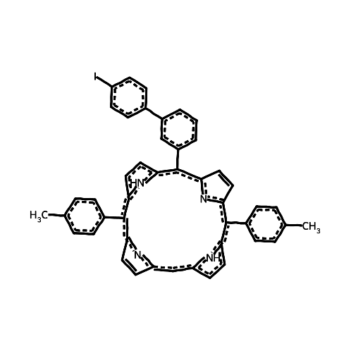 Cc1ccc(-c2c3nc(c(-c4cccc(-c5ccc(I)cc5)c4)c4ccc([nH]4)c(-c4ccc(C)cc4)c4nc(cc5ccc2[nH]5)C=C4)C=C3)cc1